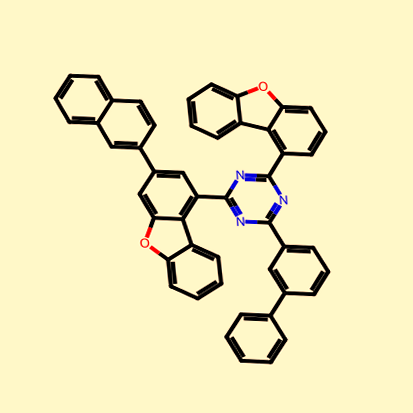 c1ccc(-c2cccc(-c3nc(-c4cccc5oc6ccccc6c45)nc(-c4cc(-c5ccc6ccccc6c5)cc5oc6ccccc6c45)n3)c2)cc1